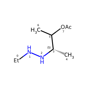 CCNN[C@@H](C)C(C)OC(C)=O